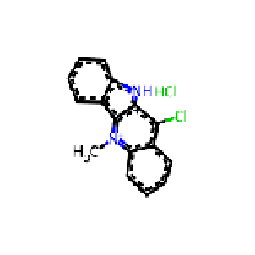 C[n+]1c2ccccc2c(Cl)c2[nH]c3ccccc3c21.Cl